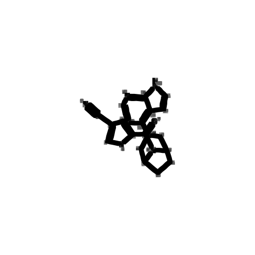 N#Cc1csc(C(=O)N2C3CCC2CN(c2ncnc4[nH]ccc24)C3)c1